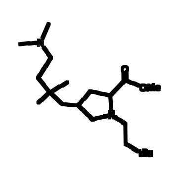 COC(=O)C1CC(CC(C)(C)CCN(C)C)CN1CCC(C)(C)C